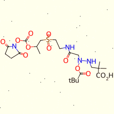 CC(CS(=O)(=O)CCNC(=O)CN(NCC(C)(C)C(=O)O)OC(=O)C(C)(C)C)OC(=O)ON1C(=O)CCC1=O